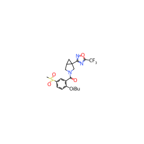 CC(C)COc1ccc(S(C)(=O)=O)cc1C(=O)N1CC2CC2(c2noc(C(F)(F)F)n2)C1